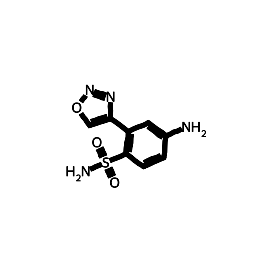 Nc1ccc(S(N)(=O)=O)c(-c2conn2)c1